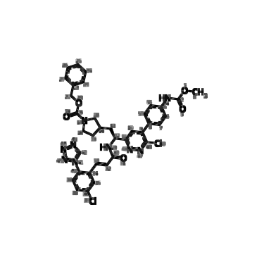 COC(=O)Nc1ccc(-c2cc([C@H](CC3CCN(C(=O)OCc4ccccc4)C3)NC(=O)/C=C/c3cc(Cl)ccc3-n3cnnn3)nnc2Cl)cc1